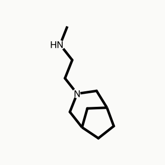 CNCCN1CC2CCC(C2)C1